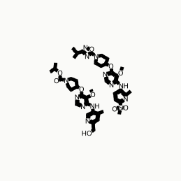 COc1c(Nc2ccc(S(C)(=O)=O)nc2C)ncnc1OC1CCN(c2nc(C(C)C)no2)CC1.COc1c(Nc2cnc(CO)cc2C)ncnc1OC1CCN(C(=O)OC(C)C)CC1